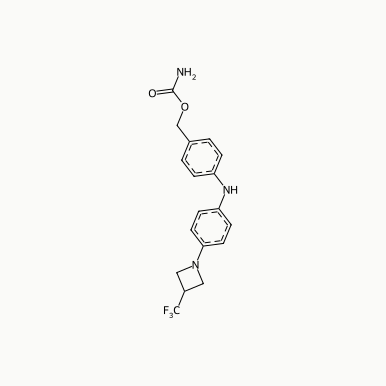 NC(=O)OCc1ccc(Nc2ccc(N3CC(C(F)(F)F)C3)cc2)cc1